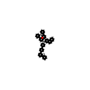 c1ccc(-n2c3ccccc3c3ccccc32)c(-c2ccc(N(c3ccc(-c4ccc(-c5cccc6c5oc5ccccc56)cc4)cc3)c3ccc4c(ccc5ccccc54)c3)cc2)c1